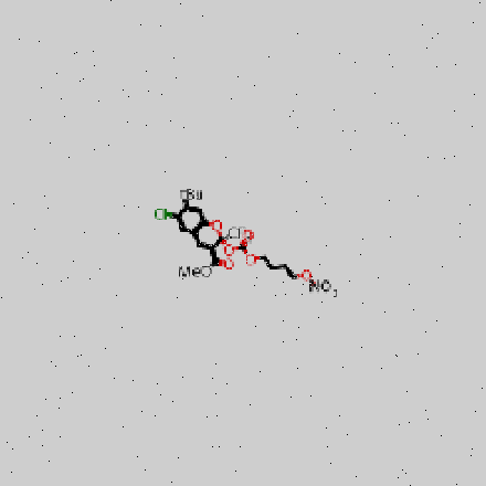 COC(=O)C1=Cc2cc(Cl)c(C(C)(C)C)cc2O[C@]1(OC(=O)OCCCCO[N+](=O)[O-])C(F)(F)F